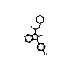 Cc1c(C(=O)CN2CCCCC2)c2cnccc2n1-c1ccc(Cl)cc1